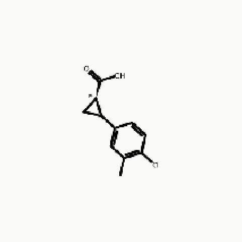 Cc1cc(C2C[C@H]2C(=O)O)ccc1Cl